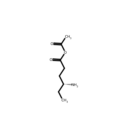 CC[C@@H](N)CCC(=O)OC(C)=O